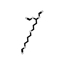 O=[C]OC(CCCOCCCCOC=O)OC=O